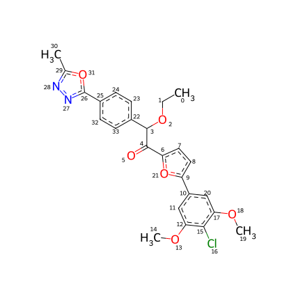 CCOC(C(=O)c1ccc(-c2cc(OC)c(Cl)c(OC)c2)o1)c1ccc(-c2nnc(C)o2)cc1